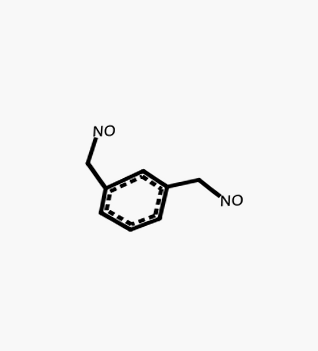 O=NCc1cccc(CN=O)c1